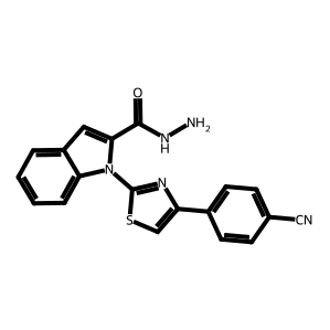 N#Cc1ccc(-c2csc(-n3c(C(=O)NN)cc4ccccc43)n2)cc1